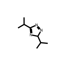 CC(C)C1=NC(C(C)C)N=N1